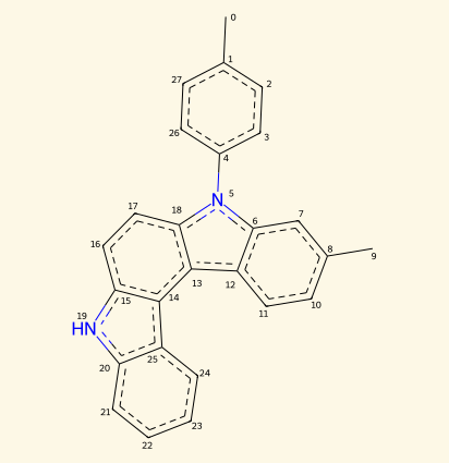 Cc1ccc(-n2c3cc(C)ccc3c3c4c(ccc32)[nH]c2ccccc24)cc1